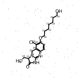 O=C1NC2=Nc3ccc(OCCCCCCCO)c(Cl)c3CN2C1CO